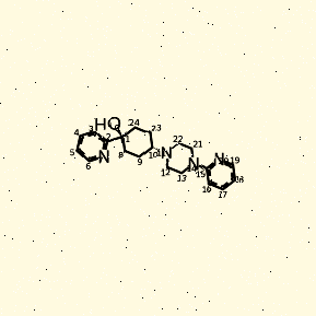 O[C@]1(c2ccccn2)CC[C@@H](N2CCN(c3ccccn3)CC2)CC1